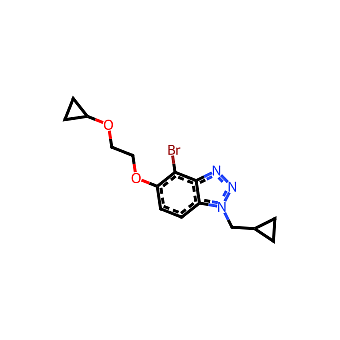 Brc1c(OCCOC2CC2)ccc2c1nnn2CC1CC1